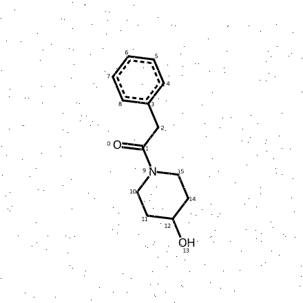 O=C(Cc1[c]cccc1)N1CCC(O)CC1